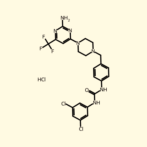 Cl.Nc1nc(N2CCN(Cc3ccc(NC(=O)Nc4cc(Cl)cc(Cl)c4)cc3)CC2)cc(C(F)(F)F)n1